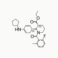 CCOC(=O)[C@H]1CCCN(C(=O)c2c(C)cccc2F)C1[C@@H]1C=CC(NC2CCCC2)=CC1